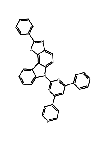 c1ccc(-c2nc3ccc4c(c5ccccc5n4-c4nc(-c5ccncc5)cc(-c5ccncc5)n4)c3o2)cc1